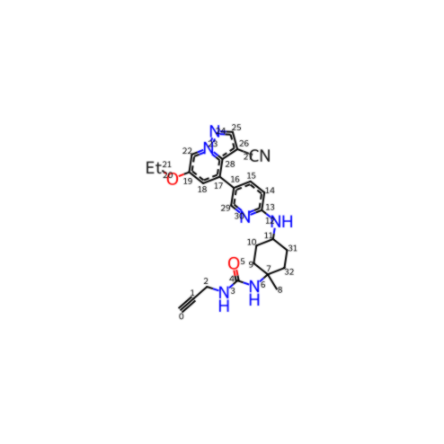 C#CCNC(=O)NC1(C)CCC(Nc2ccc(-c3cc(OCC)cn4ncc(C#N)c34)cn2)CC1